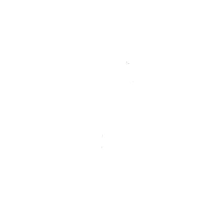 C=C/C=C\C(C(=O)O)=C(/C=C)C1=c2ccc(=C)cc2Cc2cc(N=O)ccc21